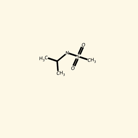 CC(C)[N]S(C)(=O)=O